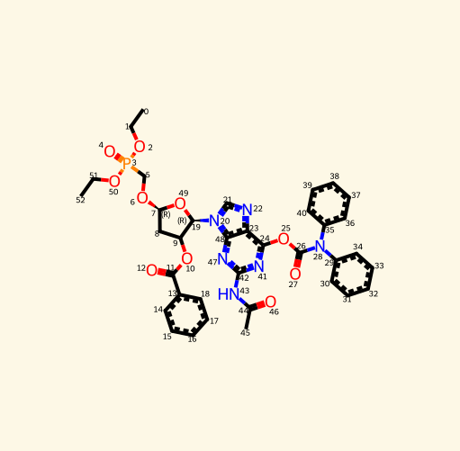 CCOP(=O)(CO[C@@H]1CC(OC(=O)c2ccccc2)[C@H](n2cnc3c(OC(=O)N(c4ccccc4)c4ccccc4)nc(NC(C)=O)nc32)O1)OCC